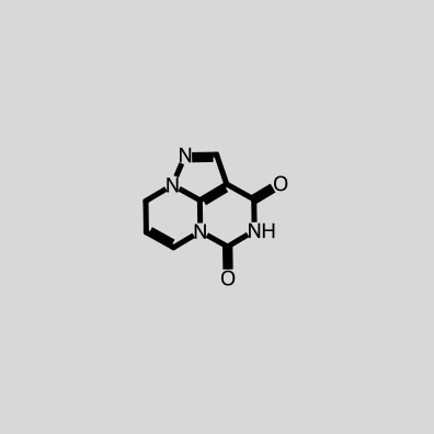 O=c1[nH]c(=O)n2c3c1cnn3CC=C2